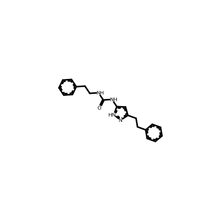 O=C(NCCc1ccccc1)Nc1cc(CCc2ccccc2)n[nH]1